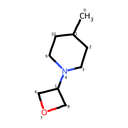 CC1CCN(C2COC2)CC1